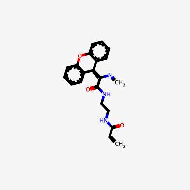 C=CC(=O)NCCNC(=O)C(N=C)=C1c2ccccc2Oc2ccccc21